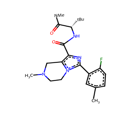 CNC(=O)[C@@H](NC(=O)c1nc(-c2cc(C)ccc2F)n2c1CN(C)CC2)C(C)(C)C